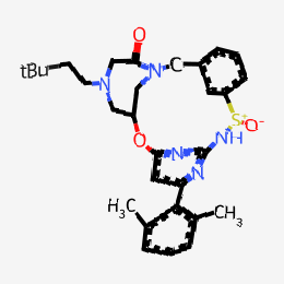 Cc1cccc(C)c1-c1cc2nc(n1)N[S+]([O-])c1cccc(c1)CN1CC(CN(CCC(C)(C)C)CC1=O)O2